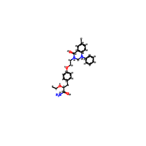 CCOC(Cc1ccc(OCCN2CN(c3ccccc3)c3ccc(C)cc3C2=O)cc1)C(N)=O